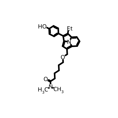 CCc1c(-c2ccc(O)cc2)c2cc(COCCCCCC(=O)N(C)C)c3cccc1n32